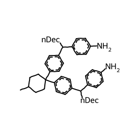 CCCCCCCCCCC(c1ccc(N)cc1)c1ccc(C2(c3ccc(C(CCCCCCCCCC)c4ccc(N)cc4)cc3)CCC(C)CC2)cc1